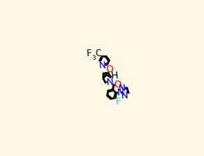 O=C(c1cccc(F)c1-n1nccn1)N1CC2C[C@@H](Oc3ccc(C(F)(F)F)cn3)[C@@H]1C2